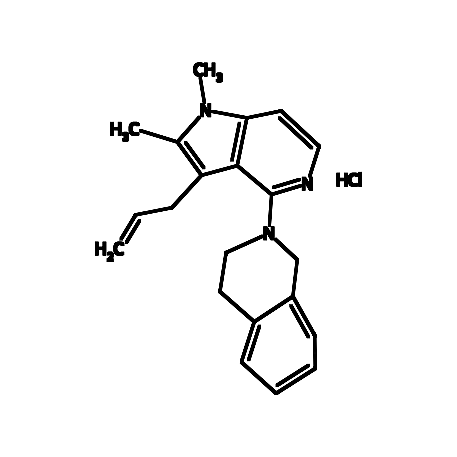 C=CCc1c(C)n(C)c2ccnc(N3CCc4ccccc4C3)c12.Cl